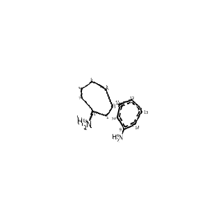 NC1CCCCCC1.Nc1ccccc1